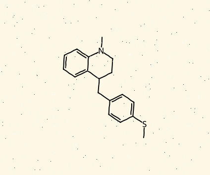 CSc1ccc(CC2CCN(C)c3ccccc32)cc1